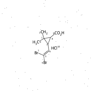 CC1(C)C(C=C(Br)Br)C1C(=O)O.Cl